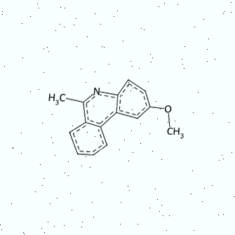 COc1ccc2nc(C)c3ccccc3c2c1